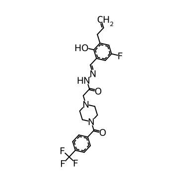 C=CCc1cc(F)cc(/C=N/NC(=O)CN2CCN(C(=O)c3ccc(C(F)(F)F)cc3)CC2)c1O